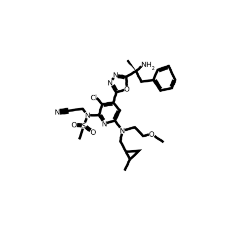 COCCN(CC1CC1C)c1cc(-c2nnc([C@](C)(N)Cc3ccccc3)o2)c(Cl)c(N(CC#N)S(C)(=O)=O)n1